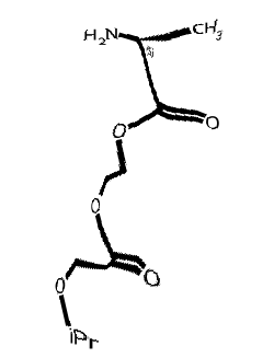 CC(C)OC(=O)OCOC(=O)[C@H](C)N